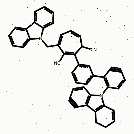 N#CC1=C(c2cccc(-c3c#cccc3-n3c4c(c5c#cccc53)CCC=C4)c2)C(C#N)C=CC=C1Cn1c2ccccc2c2ccccc21